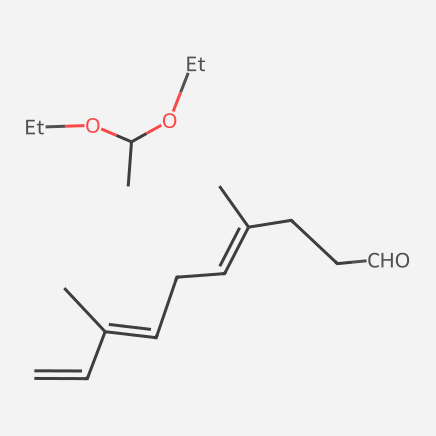 C=C/C(C)=C/C/C=C(\C)CCC=O.CCOC(C)OCC